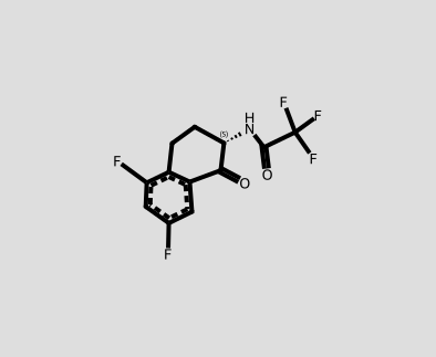 O=C1c2cc(F)cc(F)c2CC[C@@H]1NC(=O)C(F)(F)F